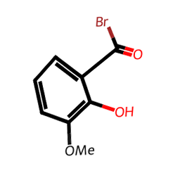 COc1cccc(C(=O)Br)c1O